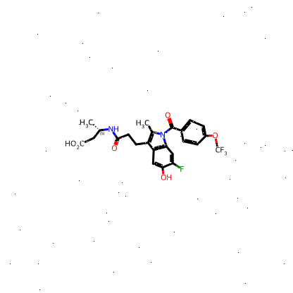 Cc1c(CCC(=O)N[C@@H](C)CC(=O)O)c2cc(O)c(F)cc2n1C(=O)c1ccc(OC(F)(F)F)cc1